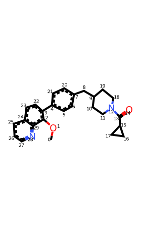 COc1c(-c2ccc(CC3CCN(C(=O)C4CC4)CC3)cc2)ccc2cccnc12